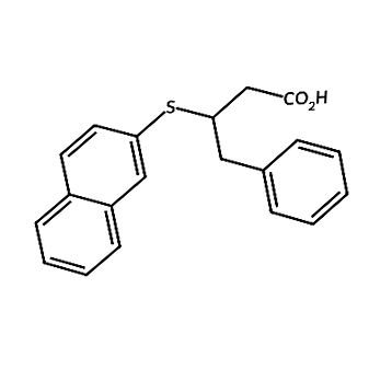 O=C(O)CC(Cc1ccccc1)Sc1ccc2ccccc2c1